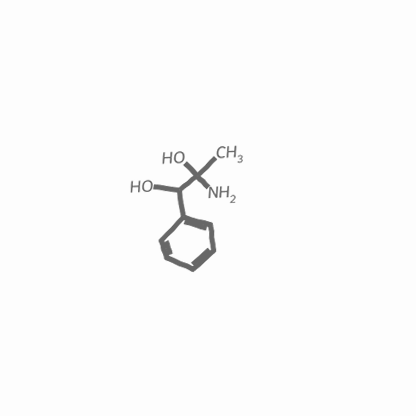 CC(N)(O)C(O)c1ccccc1